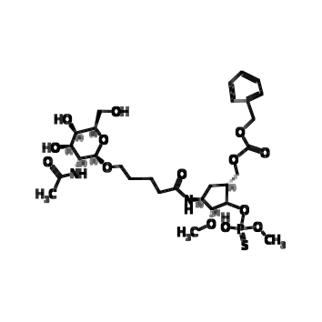 CO[C@H]1C(OP(O)(=S)OC)[C@@H](COC(=O)OCc2ccccc2)C[C@@H]1NC(=O)CCCCO[C@@H]1O[C@H](CO)[C@H](O)[C@H](O)[C@H]1NC(C)=O